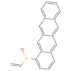 C=C[S+]([O-])c1cccc2cc3cc4ccccc4cc3cc12